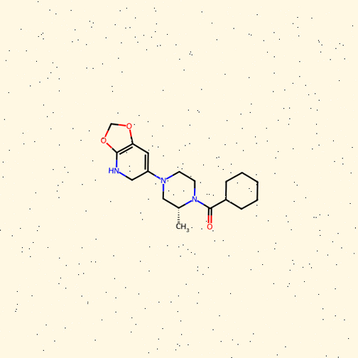 C[C@@H]1CN(C2=CC3=C(NC2)OCO3)CCN1C(=O)C1CCCCC1